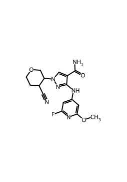 COc1cc(Nc2nn(C3COCCC3C#N)cc2C(N)=O)cc(F)n1